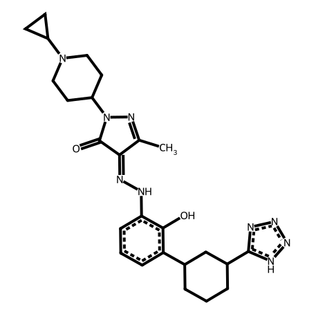 CC1=NN(C2CCN(C3CC3)CC2)C(=O)/C1=N/Nc1cccc(C2CCCC(c3nnn[nH]3)C2)c1O